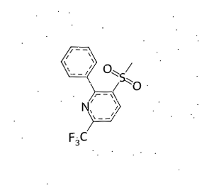 CS(=O)(=O)c1ccc(C(F)(F)F)nc1-c1ccccc1